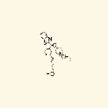 CN1CCC(OC(c2cccc(SCCCCO)c2)c2nc3ccccc3s2)CC1